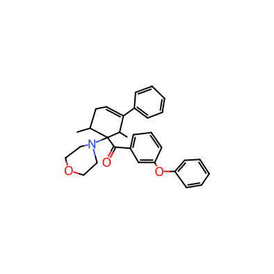 CC1CC=C(c2ccccc2)C(C)C1(C(=O)c1cccc(Oc2ccccc2)c1)N1CCOCC1